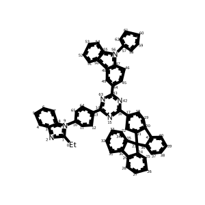 CCc1nc2ccccc2n1-c1ccc(-c2nc(-c3ccc4c(c3)C3(c5ccccc5-c5ccccc53)c3ccccc3-4)nc(-c3ccc4c(c3)c3ccccc3n4-c3ccccc3)n2)cc1